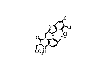 Cc1ccc2c(c1)N(Cc1nc3cc(Cl)c(Cl)c(Cl)c3s1)C(=O)C(CC(=O)O)O2